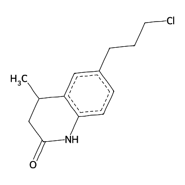 CC1CC(=O)Nc2ccc(CCCCl)cc21